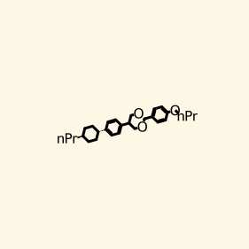 CCCOc1ccc(C2OCC(c3ccc([C@H]4CC[C@H](CCC)CC4)cc3)CO2)cc1